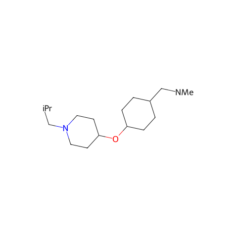 CNCC1CCC(OC2CCN(CC(C)C)CC2)CC1